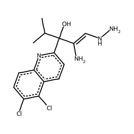 CC(C)C(O)(/C(N)=C/NN)c1ccc2c(Cl)c(Cl)ccc2n1